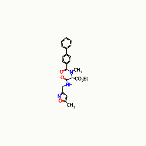 CCOC(=O)[C@@H](C(=O)NCc1cc(C)on1)N(C)C(=O)c1ccc(-c2ccccc2)cc1